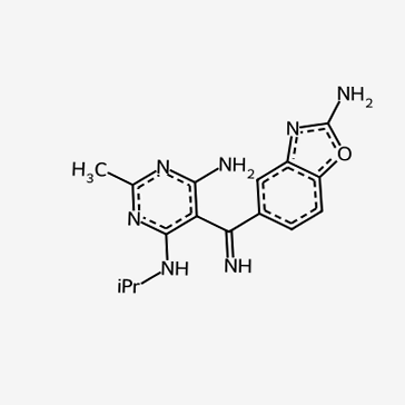 Cc1nc(N)c(C(=N)c2ccc3oc(N)nc3c2)c(NC(C)C)n1